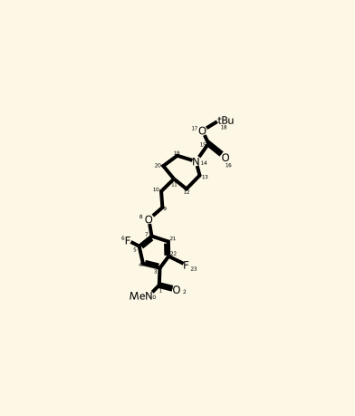 CNC(=O)c1cc(F)c(OCCC2CCN(C(=O)OC(C)(C)C)CC2)cc1F